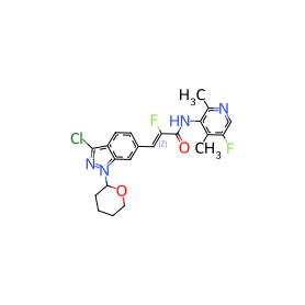 Cc1ncc(F)c(C)c1NC(=O)/C(F)=C/c1ccc2c(Cl)nn(C3CCCCO3)c2c1